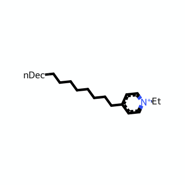 CCCCCCCCCCCCCCCCCCc1cc[n+](CC)cc1